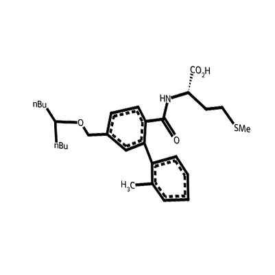 CCCCC(CCCC)OCc1ccc(C(=O)N[C@@H](CCSC)C(=O)O)c(-c2ccccc2C)c1